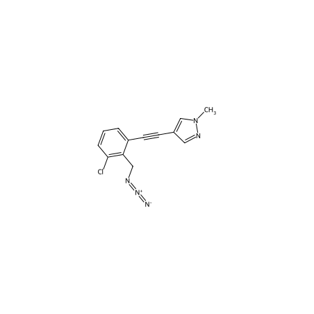 Cn1cc(C#Cc2cccc(Cl)c2CN=[N+]=[N-])cn1